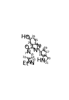 CCn1ncc(CN(C)C(=O)c2nc(-c3cc4c(cc3C)CCN4)nc3ccc(O)cc23)c1C